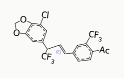 CC(=O)c1ccc(/C=C/C(c2cc(Cl)c3c(c2)OCO3)C(F)(F)F)cc1C(F)(F)F